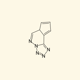 C1=CC2C=Nn3nnnc3C2=C1